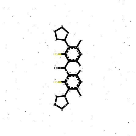 CCC(c1c(C)cc(C)c(C2CCCC2)c1S)c1c(C)cc(C)c(C2CCCC2)c1S